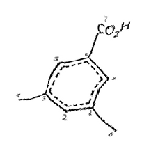 Cc1[c]c(C)cc(C(=O)O)c1